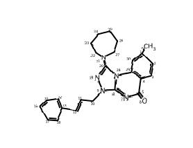 Cc1ccc2c(=O)nc3n(CC=Cc4ccccc4)nc(N4CCCCCC4)n3c2c1